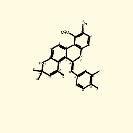 COc1c(O)ccc2c1-c1ccc3c(c1/C(=C/c1ccc(C)c(F)c1)O2)C(C)=CC(C)(C)N3